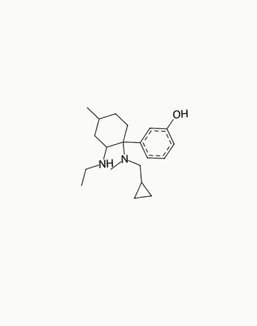 CCNC1CC(C)CCC1(c1cccc(O)c1)N(C)CC1CC1